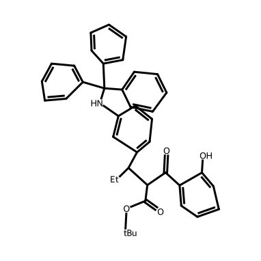 CCC(c1cccc(NC(c2ccccc2)(c2ccccc2)c2ccccc2)c1)C(C(=O)OC(C)(C)C)C(=O)c1ccccc1O